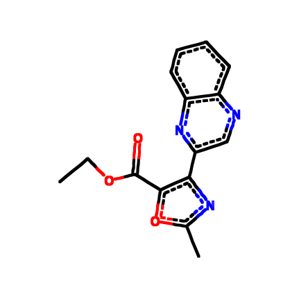 CCOC(=O)c1oc(C)nc1-c1cnc2ccccc2n1